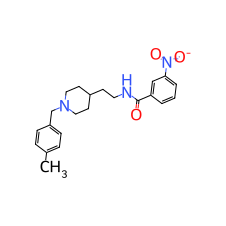 Cc1ccc(CN2CCC(CCNC(=O)c3cccc([N+](=O)[O-])c3)CC2)cc1